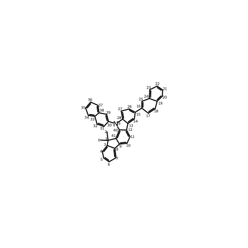 CC1(C)c2ccccc2-c2ccc3c4cc(-c5ccc6ccccc6c5)ccc4n(-c4ccc5ccccc5c4)c3c21